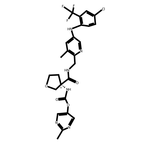 Cc1ncc(OC(=O)N[C@@]2(C(=O)NCc3ncc(Nc4ccc(Cl)cc4C(F)(F)F)cc3C)CCOC2)cn1